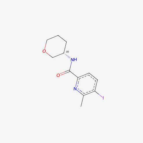 Cc1nc(C(=O)N[C@H]2CCCOC2)ccc1I